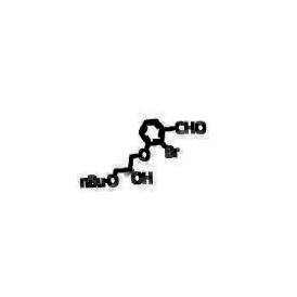 CCCCOC[C@@H](O)COc1cccc(C=O)c1Br